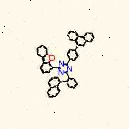 c1ccc(-c2cccc3ccccc23)c(-c2nc(-c3ccc(-c4cc5ccccc5c5ccccc45)cc3)nc(-c3cccc4c3oc3ccccc34)n2)c1